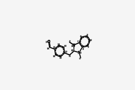 CN1c2ccccc2N(C)C1Cc1ccc(C=O)cc1